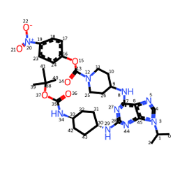 CC(C)n1cnc2c(NC3CCN(C(=O)Oc4ccc([N+](=O)[O-])cc4)CC3)nc(N[C@H]3CC[C@H](NC(=O)OC(C)(C)C)CC3)nc21